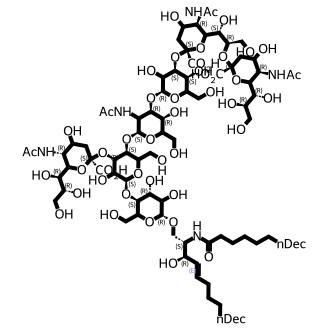 CCCCCCCCCCCCC/C=C/[C@@H](O)[C@H](CO[C@@H]1OC(CO)[C@@H](O[C@@H]2OC(CO)[C@H](O[C@@H]3OC(CO)[C@H](O)[C@H](O[C@@H]4OC(CO)[C@H](O)[C@H](O[C@]5(C(=O)O)CC(O)[C@@H](NC(C)=O)C([C@H](O)[C@@H](CO)O[C@]6(C(=O)O)CC(O)[C@@H](NC(C)=O)C([C@H](O)[C@H](O)CO)O6)O5)C4O)C3NC(C)=O)[C@H](O[C@]3(C(=O)O)CC(O)[C@@H](NC(C)=O)C([C@H](O)[C@H](O)CO)O3)C2O)[C@H](O)C1O)NC(=O)CCCCCCCCCCCCCCC